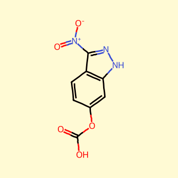 O=C(O)Oc1ccc2c([N+](=O)[O-])n[nH]c2c1